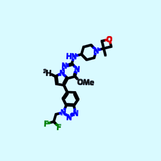 [2H]c1cc(-c2ccc3nnn(CC(F)F)c3c2)c2c(OC)nc(NC3CCN(C4(C)COC4)CC3)nn12